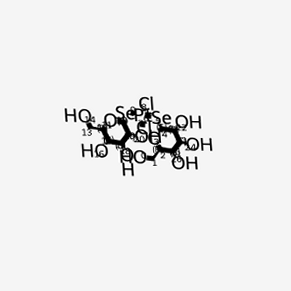 OC[C@H]1O[C@@H]([Se][Pt]([Cl])([Cl])[Se][C@@H]2O[C@H](CO)[C@@H](O)[C@H](O)[C@H]2O)[C@H](O)[C@@H](O)[C@@H]1O